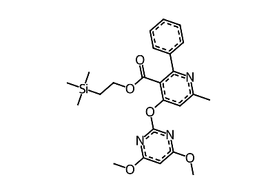 COc1cc(OC)nc(Oc2cc(C)nc(-c3ccccc3)c2C(=O)OCC[Si](C)(C)C)n1